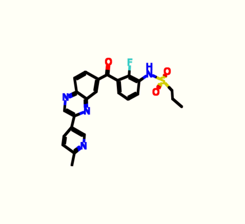 CCCS(=O)(=O)Nc1cccc(C(=O)c2ccc3ncc(-c4ccc(C)nc4)nc3c2)c1F